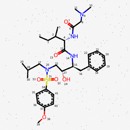 CCC(C)[C@H](NC(=O)CN(C)C)C(=O)N[C@@H](Cc1ccccc1)[C@H](O)CN(CC(C)C)S(=O)(=O)c1ccc(OC)cc1